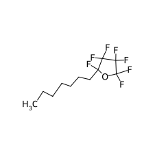 CCCCCCCC1(F)OC(F)(F)C(F)(F)C1(F)F